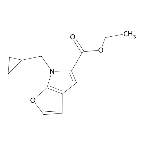 CCOC(=O)c1cc2ccoc2n1CC1CC1